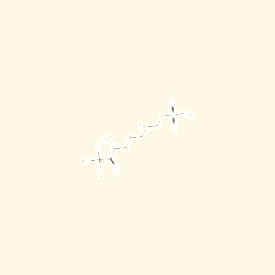 CS(=O)(=O)CCNCCCC(Br)C(=O)C(F)(F)F